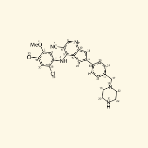 COc1cc(Nc2c(C#N)cnc3cc(-c4ccc(CN5CCNCC5)cc4)sc23)c(Cl)cc1Cl